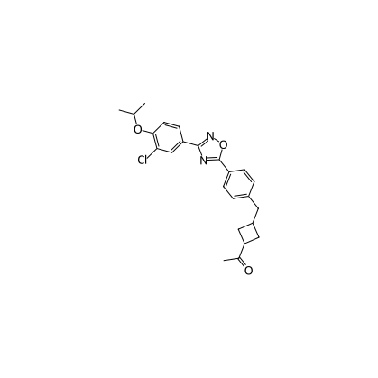 CC(=O)C1CC(Cc2ccc(-c3nc(-c4ccc(OC(C)C)c(Cl)c4)no3)cc2)C1